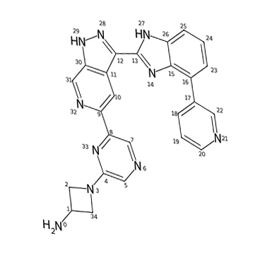 NC1CN(c2cncc(-c3cc4c(-c5nc6c(-c7cccnc7)cccc6[nH]5)n[nH]c4cn3)n2)C1